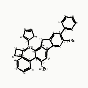 CC(C)(C)c1cc2c(cc1-c1ccccc1)Cc1c-2cc(C(C)(C)C)c(-c2ccccc2)[c]1[Zr]([C]1=CC=CC1)=[C]1CCC1